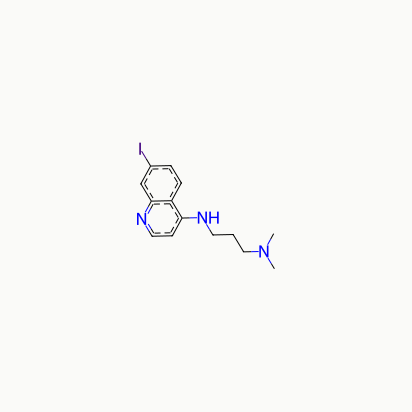 CN(C)CCCNc1ccnc2cc(I)ccc12